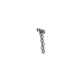 CC/N=C/OP(OCCOCCOCCOCCOCCOCC)N(C(C)C)C(C)C